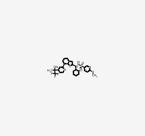 COc1ccc(S(=O)(=O)N[C@@H](c2cc3cccc(-c4cc(C(C)(O)C(F)(F)F)ccn4)c3s2)c2ccccc2Cl)cn1